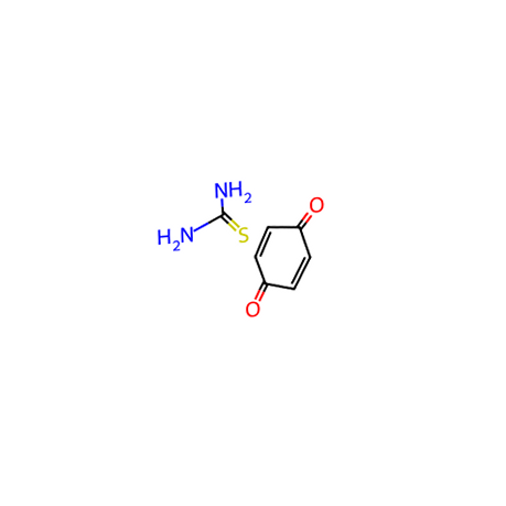 NC(N)=S.O=C1C=CC(=O)C=C1